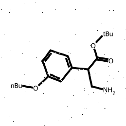 CCCCOc1cccc(C(CN)C(=O)OC(C)(C)C)c1